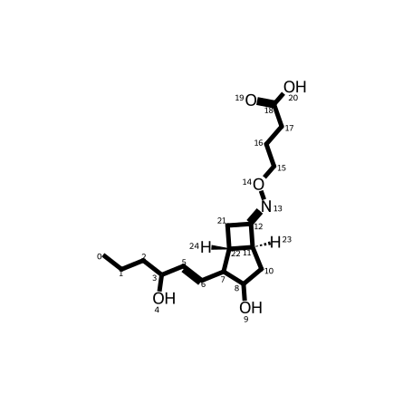 CCCC(O)C=CC1C(O)C[C@@H]2C(=NOCCCC(=O)O)C[C@@H]12